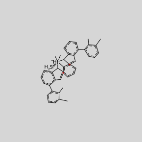 Cc1cccc(-c2cccc3c2C=C[CH]3[Hf]([CH3])([CH3])([CH3])(=[SiH2])([c]2ccccc2)[CH]2C=Cc3c(-c4cccc(C)c4C)cccc32)c1C